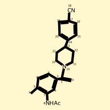 C=C(c1ccc(C)c(NC(C)=O)c1)N1CCC(c2ccc(C#N)cc2)CC1